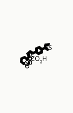 O=C(O)C[C@]1(c2ccc(-c3ccc(-c4ccsc4)cc3)s2)CCCCS1(=O)=O